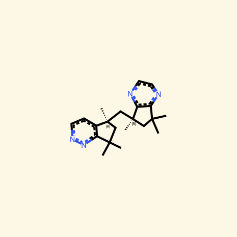 CC1(C)C[C@](C)(C[C@]2(C)CC(C)(C)c3nccnc32)c2ccnnc21